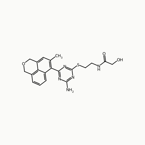 Cc1cc2c3c(cccc3c1-c1nc(N)nc(SCCNC(=O)CO)n1)COC2